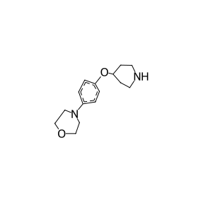 c1cc(N2CCOCC2)ccc1OC1CCNCC1